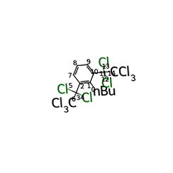 CCC[CH]c1c(C(Cl)(Cl)C(Cl)(Cl)Cl)cccc1C(Cl)(Cl)C(Cl)(Cl)Cl